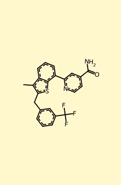 Cc1c(Cc2cccc(C(F)(F)F)c2)sc2c(-c3cc(C(N)=O)ccn3)cccc12